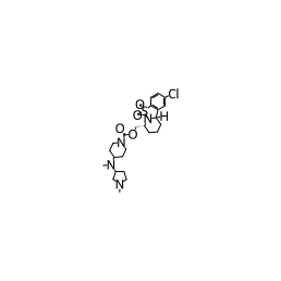 CN1CCC(N(C)C2CCN(C(=O)OC[C@H]3CCC[C@H]4c5cc(Cl)ccc5S(=O)(=O)N34)CC2)C1